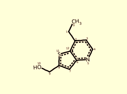 CCc1ccnc2cc(CO)sc12